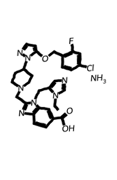 CCn1cncc1Cn1c(CN2CCC(n3nccc3OCc3ccc(Cl)cc3F)CC2)nc2ccc(C(=O)O)cc21.N